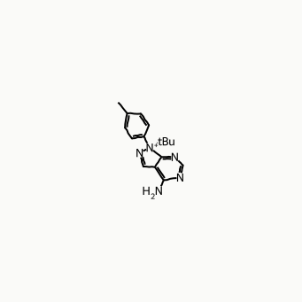 Cc1ccc([N+]2(C(C)(C)C)N=Cc3c(N)ncnc32)cc1